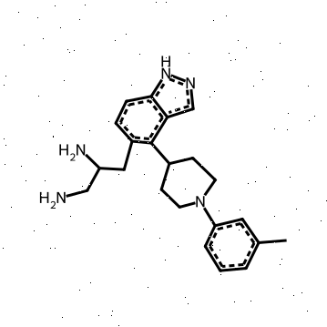 Cc1cccc(N2CCC(c3c(CC(N)CN)ccc4[nH]ncc34)CC2)c1